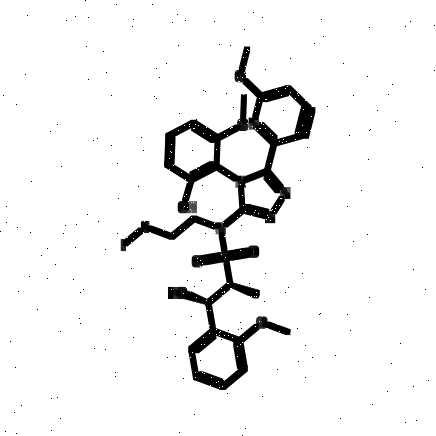 COc1cc#cc(-c2nnc(N(CCSI)S(=O)(=O)[C@@H](C)[C@H](O)c3ccccc3OC)n2-c2c(O)cccc2OC)n1